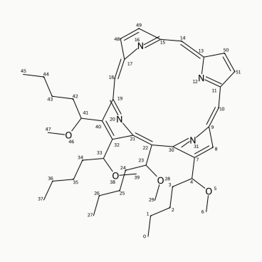 CCCCC(OC)C1=CC2=CC3=NC(=CC4=NC(=CC5=NC(=C(C(CCCC)OC)C1=N2)C(C(CCCC)OC)=C5C(CCCC)OC)C=C4)C=C3